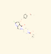 COc1ccc(COc2cc(Cl)nc3ccn(C4CCN(C(=O)OC(C)(C)C)CC4)c(=O)c23)cc1